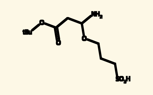 CC(C)(C)OC(=O)CC(N)OCCCS(=O)(=O)O